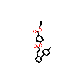 C=CCOC(=O)c1ccc(OC(=O)C=Cc2ccccc2-c2ccc(C)cc2)cc1